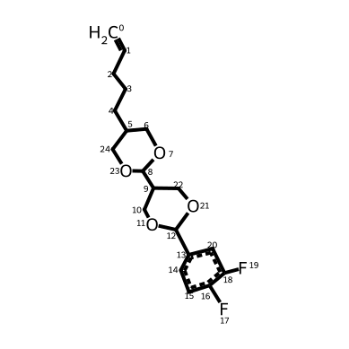 C=CCCCC1COC(C2COC(c3ccc(F)c(F)c3)OC2)OC1